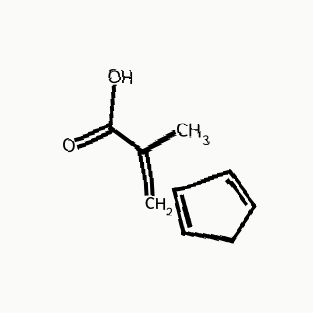 C1=CCC=C1.C=C(C)C(=O)O